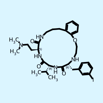 CC(C)[C@H]1NC(=O)[C@@H](Cc2cccc(I)c2)NCCOc2ccccc2CCCNC(=O)[C@H](CCN(C)C)NC1=O